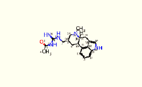 CC(=O)NC(=N)NC[C@@H]1CC2c3cccc4[nH]cc(c34)C[C@H]2N(C)C1